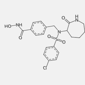 O=C(NO)c1ccc(CN(C2CCCCNC2=O)S(=O)(=O)c2ccc(Cl)cc2)cc1